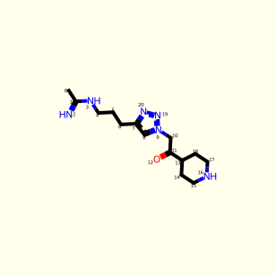 CC(=N)NCCCc1cn(CC(=O)C2CCNCC2)nn1